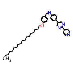 CCCCCCCCCCCCCCCCCCOc1ccc(/C=N\c2ccc(-c3cnc(-c4ccncc4)nc3)cc2)cc1